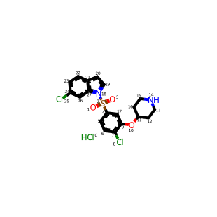 Cl.O=S(=O)(c1ccc(Cl)c(OC2CCNCC2)c1)n1ccc2ccc(Cl)cc21